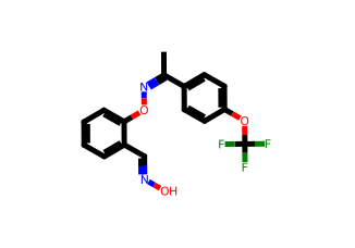 CC(=NOc1ccccc1C=NO)c1ccc(OC(F)(F)F)cc1